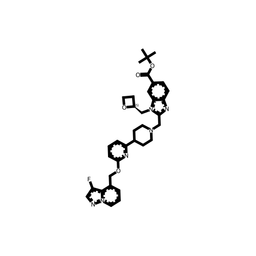 CC(C)(C)OC(=O)c1ccc2nc(CN3CCC(c4cccc(OCc5cccn6ncc(F)c56)n4)CC3)n(C[C@@H]3CCO3)c2c1